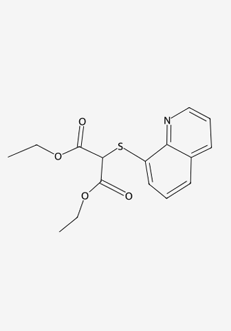 CCOC(=O)C(Sc1cccc2cccnc12)C(=O)OCC